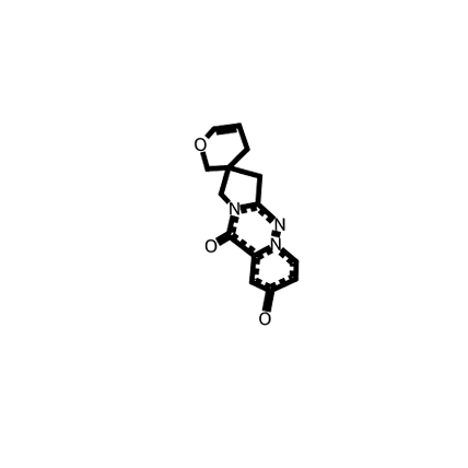 O=c1ccn2nc3n(c(=O)c2c1)CC1(CC=COC1)C3